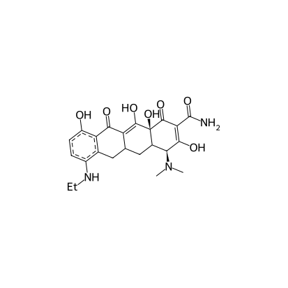 CCNc1ccc(O)c2c1CC1CC3[C@H](N(C)C)C(O)=C(C(N)=O)C(=O)[C@@]3(O)C(O)=C1C2=O